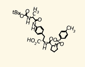 Cc1ccc(S(=O)(=O)N2CCC[C@H]2C(=O)N[C@@H](Cc2ccc(NC(=O)[C@@H](C)NC(=O)OC(C)(C)C)cc2)C(=O)O)cc1